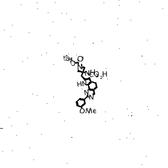 COc1cccc(-c2ncc3c(n2)-c2[nH]c(CC4(N)CN(C(=O)OC(C)(C)C)C4)c(C(=O)O)c2CC3)c1